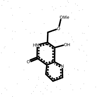 COOCc1[nH]c(=O)c2cccnc2c1O